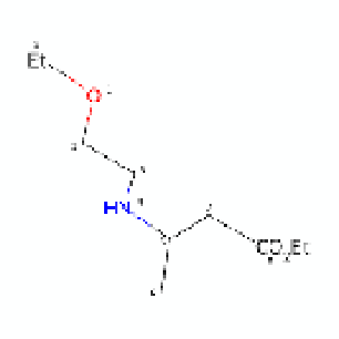 CCOCCNC(C)CC(=O)OCC